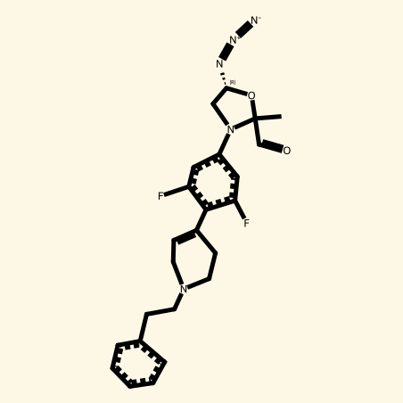 CC1(C=O)O[C@@H](N=[N+]=[N-])CN1c1cc(F)c(C2=CCN(CCc3ccccc3)CC2)c(F)c1